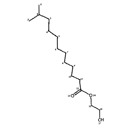 CC(C)CCCCCCCCCC(=O)OCCO